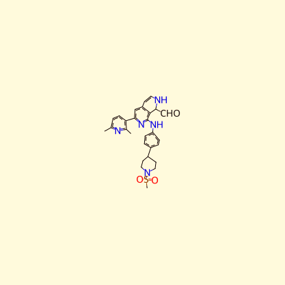 Cc1ccc(-c2cc3c(c(Nc4ccc(C5CCN(S(C)(=O)=O)CC5)cc4)n2)C(C=O)NC=C3)c(C)n1